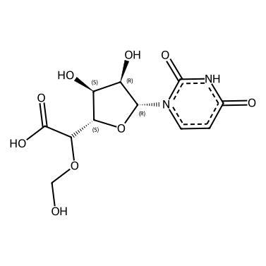 O=C(O)C(OCO)[C@H]1O[C@@H](n2ccc(=O)[nH]c2=O)[C@H](O)[C@@H]1O